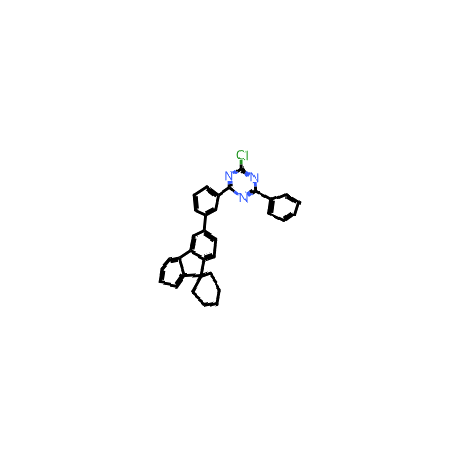 Clc1nc(-c2ccccc2)nc(-c2cccc(-c3ccc4c(c3)-c3ccccc3C43CCCCC3)c2)n1